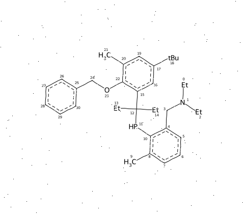 CCN(CC)Cc1cccc(C)c1PC(CC)(CC)c1cc(C(C)(C)C)cc(C)c1OCc1ccccc1